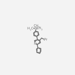 CC(C)Cc1cc(-c2ccccc2)ncc1-c1ccc([Si](C)(C)C)cc1